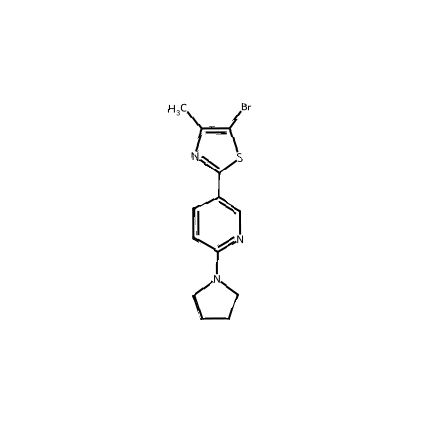 Cc1nc(-c2ccc(N3CCCC3)nc2)sc1Br